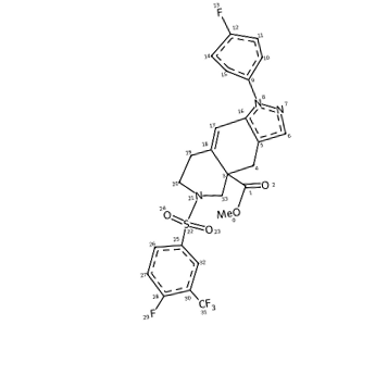 COC(=O)C12Cc3cnn(-c4ccc(F)cc4)c3C=C1CCN(S(=O)(=O)c1ccc(F)c(C(F)(F)F)c1)C2